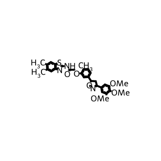 COc1cc(C2=NOC(c3ccc(C)c(OCC(=O)Nc4nc5cc(C)c(C)cc5s4)c3)C2)cc(OC)c1OC